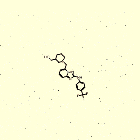 OCC1CCCN(Cc2cccc3nc(Nc4ccc(C(F)(F)F)cc4)nn23)C1